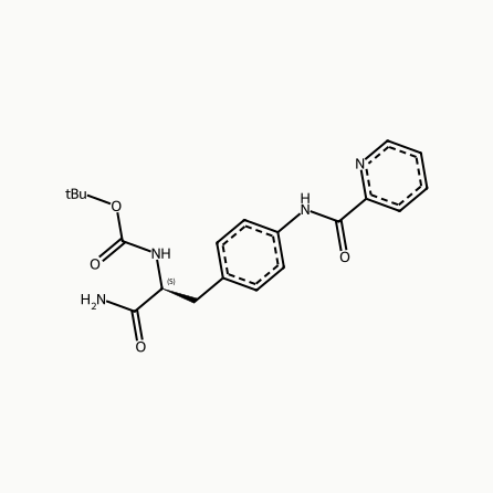 CC(C)(C)OC(=O)N[C@@H](Cc1ccc(NC(=O)c2ccccn2)cc1)C(N)=O